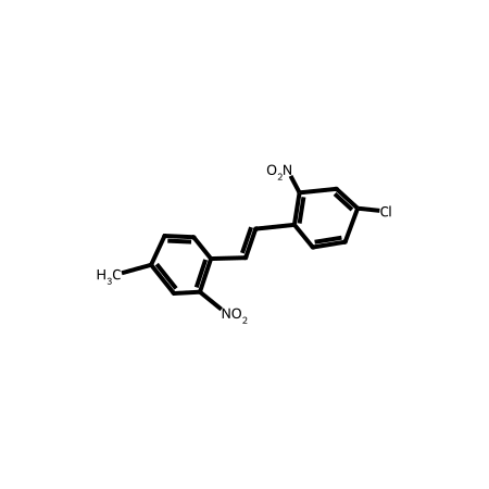 Cc1ccc(/C=C/c2ccc(Cl)cc2[N+](=O)[O-])c([N+](=O)[O-])c1